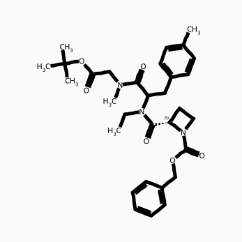 CCN(C(=O)[C@@H]1CCN1C(=O)OCc1ccccc1)C(Cc1ccc(C)cc1)C(=O)N(C)CC(=O)OC(C)(C)C